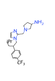 CC(C)CC(Cn1ccnc1CN1CCC(N)C1)c1ccc(C(F)(F)F)cc1